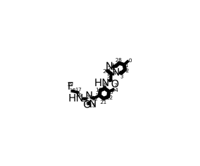 Cc1ccn2c(C(=O)Nc3cc(-c4noc(NCCF)n4)ccc3C)cnc2c1